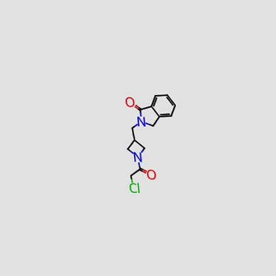 O=C(CCl)N1CC(CN2Cc3ccccc3C2=O)C1